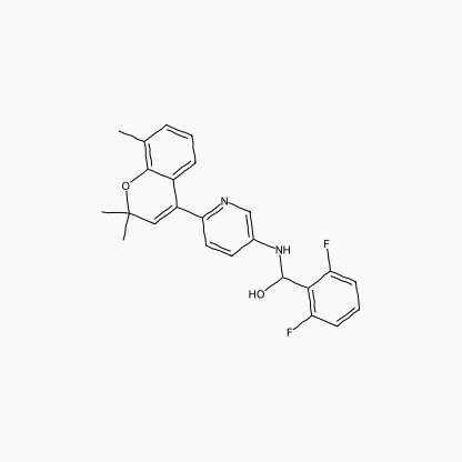 Cc1cccc2c1OC(C)(C)C=C2c1ccc(NC(O)c2c(F)cccc2F)cn1